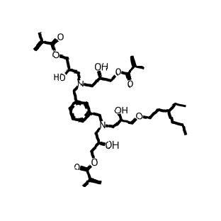 C=C(C)C(=O)OCC(O)CN(Cc1cccc(CN(CC(O)COC(=O)C(=C)C)CC(O)COC(=O)C(=C)C)c1)CC(O)COCCC(CC)CCC